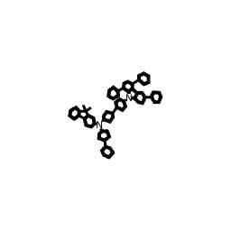 CC1(C)c2ccccc2-c2ccc(N(c3ccc(-c4ccccc4)cc3)c3ccc(-c4ccc(-n5c6ccc(-c7ccccc7)cc6c6c(-c7ccccc7)ccc(-c7ccccc7)c65)cc4)cc3)cc21